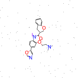 CN(C)CCOc1cc(-c2cnco2)ccc1N(I)C(=O)C1COc2ccccc2C1